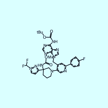 COC(=O)NC1(c2ccn(C(F)F)n2)CCCN(c2cnc(-c3ccc(F)cc3)cc2Cn2cnc3c(NC(=O)OC(C)(C)C)ncnc32)C1